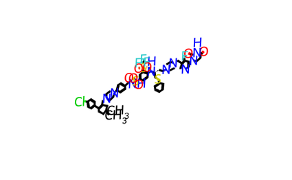 CC1(C)CCC(c2ccc(Cl)cc2)=C(CN2CCN(c3ccc(C(=O)NS(=O)(=O)c4ccc(N[C@H](CCN5CCN(Cc6cncc(N7CCC(=O)NC7=O)c6F)CC5)CSc5ccccc5)c(S(=O)(=O)C(F)(F)F)c4)cc3)CC2)C1